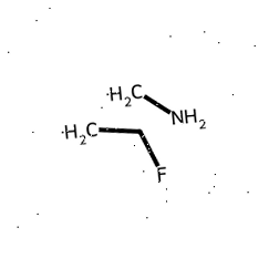 [CH2]CF.[CH2]N